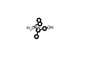 CN(Cc1cccc2ccccc12)c1cc(-c2ccccc2)cc(-c2ccc(O)cc2)n1